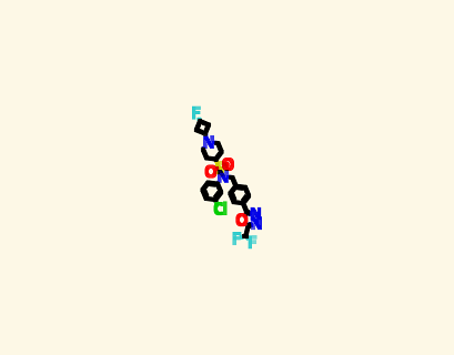 O=S(=O)(C1CCN(C2CC(F)C2)CC1)N(Cc1ccc(-c2nnc(C(F)F)o2)cc1)c1cccc(Cl)c1